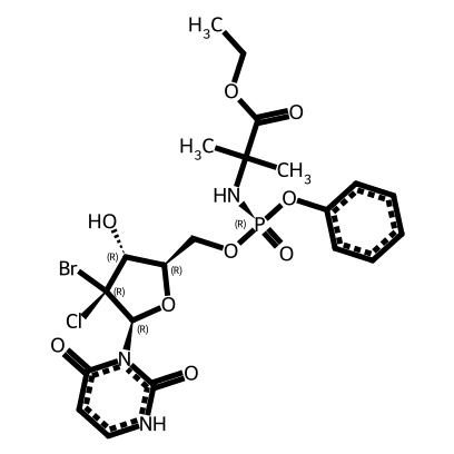 CCOC(=O)C(C)(C)N[P@@](=O)(OC[C@H]1O[C@@H](n2c(=O)cc[nH]c2=O)[C@](Cl)(Br)[C@@H]1O)Oc1ccccc1